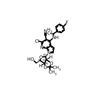 C[C@H](Nc1c(C#N)c(Cl)nc2c1ccn2[C@@H]1O[C@H](CO)[C@H]2OC(C)(C)O[C@H]21)c1ccc(F)cc1